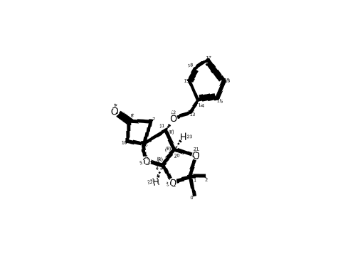 CC1(C)O[C@H]2OC3(CC(=O)C3)[C@H](OCc3ccccc3)[C@H]2O1